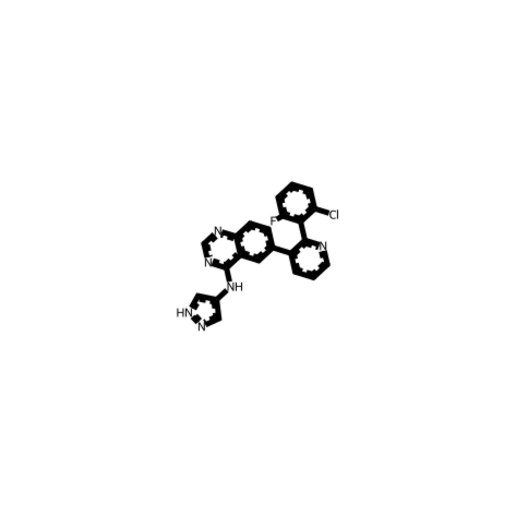 Fc1cccc(Cl)c1-c1ncccc1-c1ccc2ncnc(Nc3cn[nH]c3)c2c1